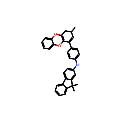 CC1C=C(c2ccc(Nc3ccc4c(c3)C(C)(C)c3ccccc3-4)cc2)C2=C(C1)Oc1ccccc1O2